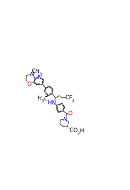 Cc1cc(-c2cnc3c(c2)OCCN3C)ccc1C(CCC(F)(F)F)Nc1ccc(C(=O)N2CCC[C@@H](C(=O)O)C2)cc1